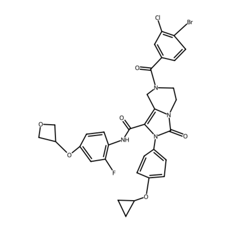 O=C(Nc1ccc(OC2COC2)cc1F)c1c2n(c(=O)n1-c1ccc(OC3CC3)cc1)CCN(C(=O)c1ccc(Br)c(Cl)c1)C2